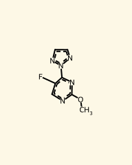 COc1ncc(F)c(-n2nccn2)n1